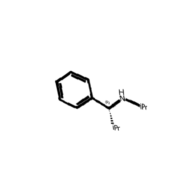 CC(C)N[C@@H](c1ccccc1)C(C)C